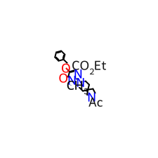 CCOC(=O)c1nc(N2CCC3(CCN(C(C)=O)C3)CC2)n(C)c(=O)c1OCc1ccccc1